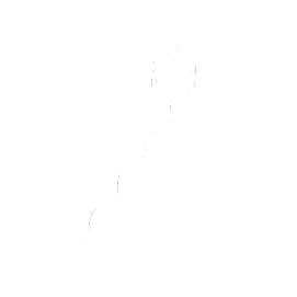 CCCCSSSc1ccccc1